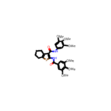 COc1cc(NC(=O)c2c(NC(=O)c3cc(OC)c(OC)c(OC)c3)sc3c2CCCC3)cc(OC)c1OC